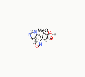 COc1cc(-c2nocc2-c2cncnc2)cc2c1OCO2